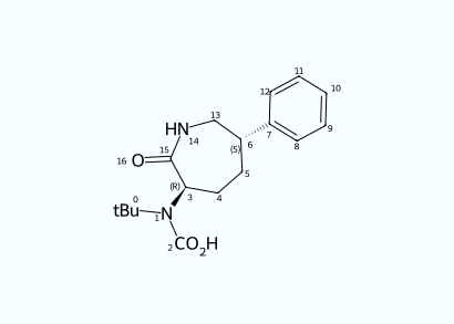 CC(C)(C)N(C(=O)O)[C@@H]1CC[C@@H](c2ccccc2)CNC1=O